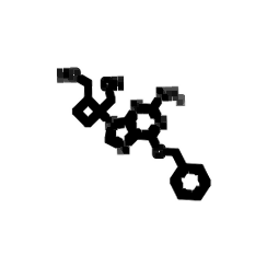 Nc1nc(OCc2ccccc2)c2ncn(C3(CO)CCC3CO)c2n1